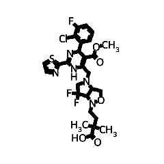 COC(=O)C1=C(CN2CC(F)(F)C3C2CON3CCC(C)(C)C(=O)O)NC(c2nccs2)=NC1c1cccc(F)c1Cl